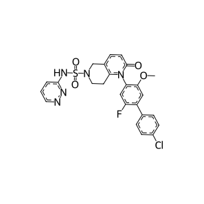 COc1cc(-c2ccc(Cl)cc2)c(F)cc1-n1c2c(ccc1=O)CN(S(=O)(=O)Nc1cccnn1)CC2